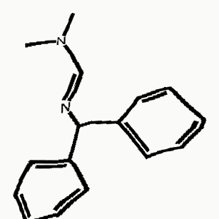 CN(C)/C=N/C(c1ccccc1)c1ccccc1